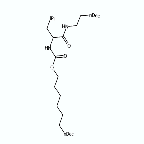 CCCCCCCCCCCCCCCCOC(=O)NC(CC(C)C)C(=O)NCCCCCCCCCCCC